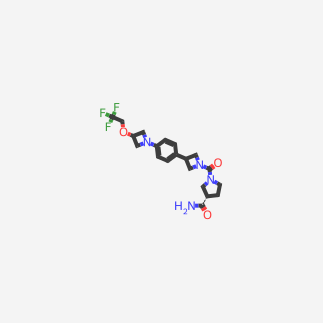 NC(=O)[C@H]1CCN(C(=O)N2CC(c3ccc(N4CC(OCC(F)(F)F)C4)cc3)C2)C1